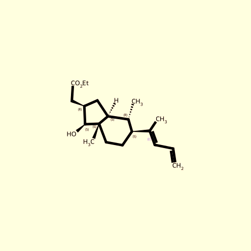 C=C/C=C(\C)[C@H]1CC[C@]2(C)[C@@H](O)[C@@H](CC(=O)OCC)C[C@H]2[C@@H]1C